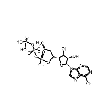 C=CCC(OP(=O)(O)OP(=O)(O)OP(=O)(O)O)[C@H]1O[C@@H](n2cnc3c(O)ncnc32)[C@H](O)[C@@H]1O